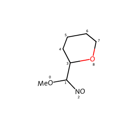 COC(N=O)C1CCCCO1